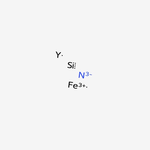 [Fe+3].[N-3].[Si].[Y]